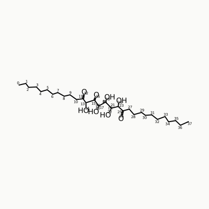 CCCCCCCCCCCC(=O)C(O)C(=O)[C@H](O)[C@H](O)[C@H](O)C(O)C(=O)CCCCCCCCCCC